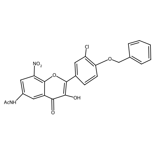 CC(=O)Nc1cc([N+](=O)[O-])c2oc(-c3ccc(OCc4ccccc4)c(Cl)c3)c(O)c(=O)c2c1